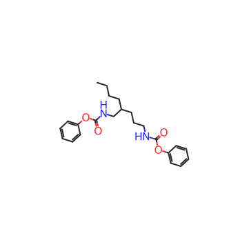 CCCCC(CCCNC(=O)Oc1ccccc1)CNC(=O)Oc1ccccc1